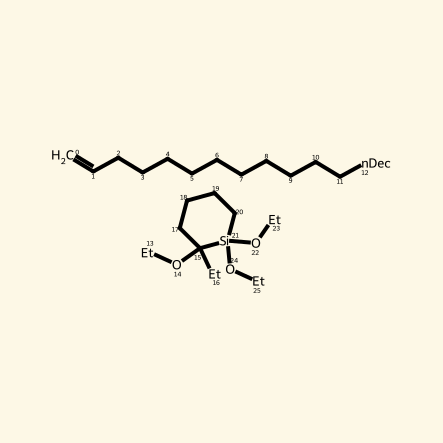 C=CCCCCCCCCCCCCCCCCCCCC.CCOC1(CC)CCCC[Si]1(OCC)OCC